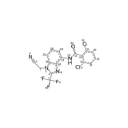 N#CCn1c(C(F)(F)F)nc2c(NC(=O)c3c(Cl)cccc3Cl)cccc21